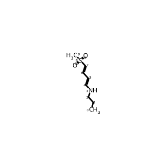 CCCN/C=C/C=C/S(C)(=O)=O